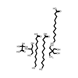 CCC(CO)(CO)CO.O=C(O)C(S)(S)S.O=C(O)CCCCCCCCCCS.O=C(O)CCCCCCCCCCS.O=C(O)CCCCCCCCCCS.OCC(O)CO